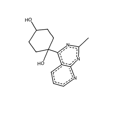 Cc1nc(C2(O)CCC(O)CC2)c2cccnc2n1